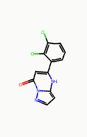 O=c1cc(-c2cccc(Cl)c2Cl)[nH]c2ccnn12